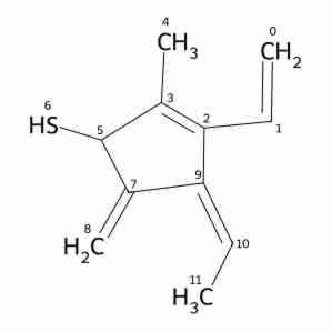 C=CC1=C(C)C(S)C(=C)/C1=C\C